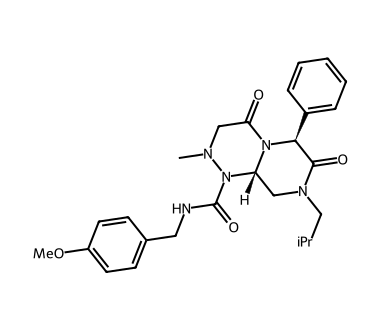 COc1ccc(CNC(=O)N2[C@H]3CN(CC(C)C)C(=O)[C@H](c4ccccc4)N3C(=O)CN2C)cc1